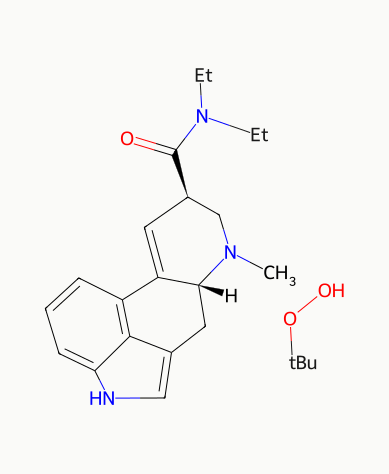 CC(C)(C)OO.CCN(CC)C(=O)[C@@H]1C=C2c3cccc4[nH]cc(c34)C[C@H]2N(C)C1